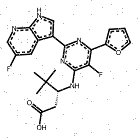 CC(C)(C)[C@@H](CC(=O)O)Nc1nc(-c2c[nH]c3ncc(F)cc23)nc(-c2ccco2)c1F